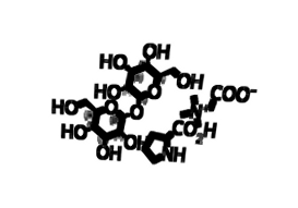 C[N+](C)(C)CC(=O)[O-].O=C(O)C1CCCN1.OC[C@H]1O[C@H](O[C@H]2O[C@H](CO)[C@@H](O)[C@H](O)[C@H]2O)[C@H](O)[C@@H](O)[C@@H]1O